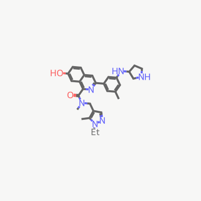 CCn1ncc(CN(C)C(=O)c2nc(-c3cc(C)cc(NC4CCNC4)c3)cc3ccc(O)cc23)c1C